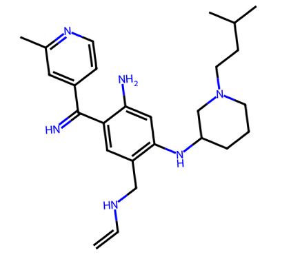 C=CNCc1cc(C(=N)c2ccnc(C)c2)c(N)cc1NC1CCCN(CCC(C)C)C1